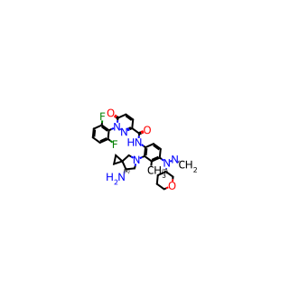 C=NN(c1ccc(NC(=O)c2ccc(=O)n(-c3c(F)cccc3F)n2)c(N2C[C@H](N)C3(CC3)C2)c1C)[C@H]1CCCOC1